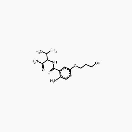 CC(C)C(NC(=O)c1cc(OCCCO)ccc1N)C(N)=O